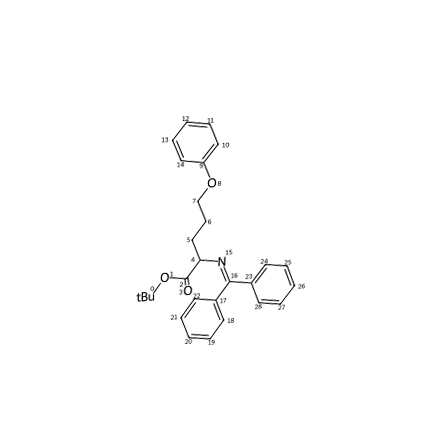 CC(C)(C)OC(=O)C(CCCOc1ccccc1)N=C(c1ccccc1)c1ccccc1